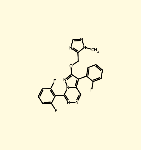 Cn1ncnc1COc1nn2c(-c3c(F)cccc3F)nncc2c1-c1ccccc1F